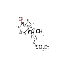 CCOC(=O)CCC[C@@H](C)[C@H]1CCC2C(=O)CCC[C@@]21C